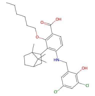 CCCCCCOc1c(C(=O)O)ccc(NCc2cc(Cl)cc(Cl)c2O)c1C1CC2CCC1(C)C2(C)C